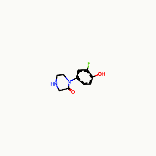 O=C1CNCCN1c1ccc(O)c(F)c1